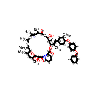 CCC1/C=C(\C)CC(C)CC(OC)C2OC(O)(C(=O)C(=O)N3CCCCC3C(=O)OC(C(C)=CC3CCC(Oc4ccc(Oc5ccccc5)cc4)C(OC)C3)C(C)C(O)CC1=O)C(C)CC2OC